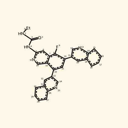 CCNC(=O)Nc1cc2c(F)c(-c3cnc4ccccc4c3)cc(-c3cnc4ccccc4c3)c2cn1